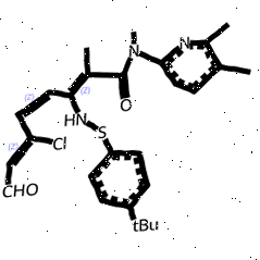 C\C(C(=O)N(C)c1ccc(C)c(C)n1)=C(/C=C\C(Cl)=C\C=O)NSc1ccc(C(C)(C)C)cc1